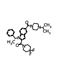 CC(C)N1CCN(C(=O)c2ccc3c(c2)cc(C(=O)N2CCC(F)(F)CC2)n3[C@H](C)c2ccccc2)CC1